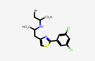 CC(C)CC(NC(Cc1csc(-c2cc(Cl)cc(Cl)c2)n1)C(=O)O)C(=O)O